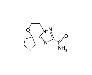 NC(=O)c1nc2n(n1)CCOC21CCCC1